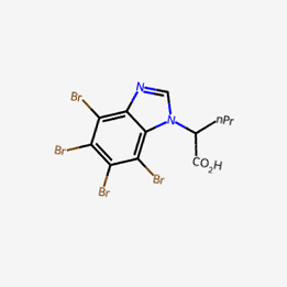 CCCC(C(=O)O)n1cnc2c(Br)c(Br)c(Br)c(Br)c21